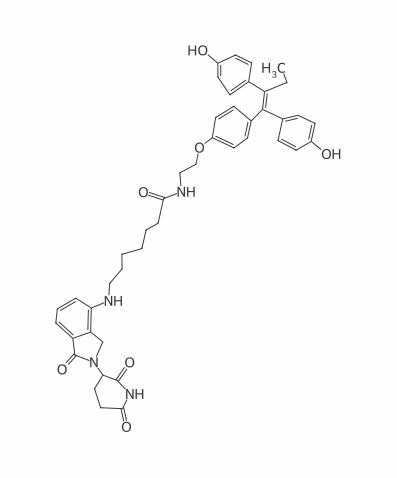 CCC(=C(c1ccc(O)cc1)c1ccc(OCCNC(=O)CCCCCCNc2cccc3c2CN(C2CCC(=O)NC2=O)C3=O)cc1)c1ccc(O)cc1